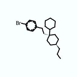 CCC[C@H]1CC[C@@](CCc2ccc(Br)cc2)(C2CCCCC2)CC1